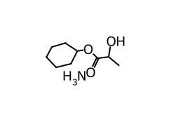 CC(O)C(=O)OC1CCCCC1.N